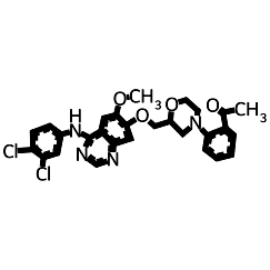 COc1cc2c(Nc3ccc(Cl)c(Cl)c3)ncnc2cc1OCC1CN(c2ccccc2C(C)=O)CCO1